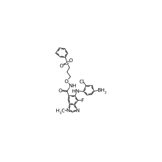 Bc1ccc(Nc2c(C(=O)NOCCCS(=O)(=O)c3ccccc3)cc3c(ncn3C)c2F)c(Cl)c1